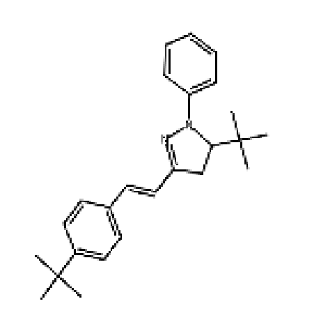 CC(C)(C)c1ccc(C=CC2=NN(c3ccccc3)C(C(C)(C)C)C2)cc1